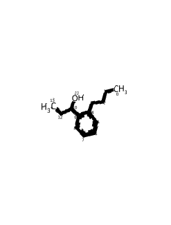 CCCCc1ccccc1C(O)CC